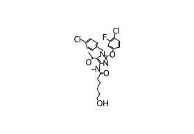 CC(=O)c1c(N(C)C(=O)CCCCCO)nc(Oc2ccc(Cl)c(F)c2)n1Cc1ccc(Cl)cc1